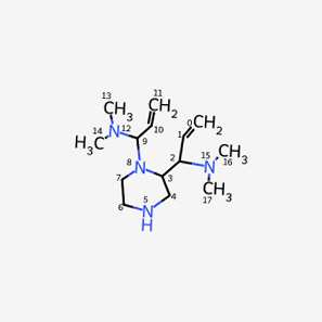 C=CC(C1CNCCN1C(C=C)N(C)C)N(C)C